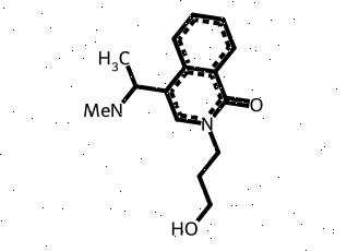 CNC(C)c1cn(CCCO)c(=O)c2ccccc12